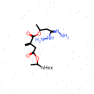 C=C(CC(=O)OC(C)CCCCCC)C(=O)OC(C)C/C(=N/N)NN